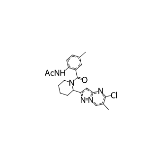 CC(=O)Nc1ccc(C)cc1C(=O)N1CCCCC1c1cc2nc(Cl)c(C)cn2n1